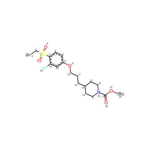 CC(C)CS(=O)(=O)c1ccc(OCCCC2CCN(C(=O)OC(C)(C)C)CC2)cc1F